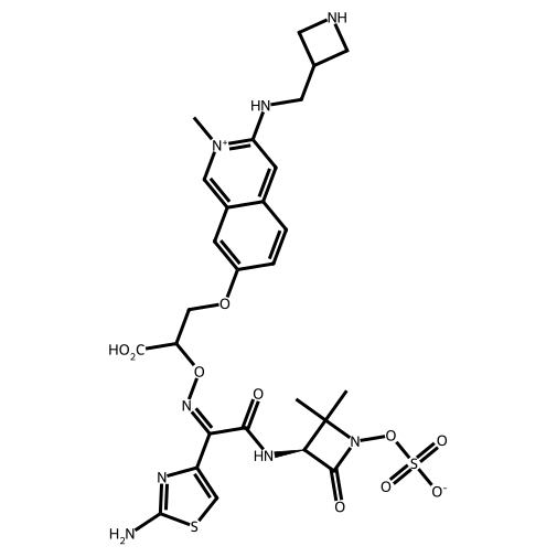 C[n+]1cc2cc(OCC(O/N=C(\C(=O)N[C@@H]3C(=O)N(OS(=O)(=O)[O-])C3(C)C)c3csc(N)n3)C(=O)O)ccc2cc1NCC1CNC1